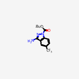 CC(C)COC(=O)n1nc(N)c2cc(C(F)(F)F)ccc21